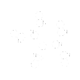 c1ccc2ncc(-c3cc(-c4cc(-c5cc(-c6cnc7ccccc7c6)nc(-c6cnc7ccccc7c6)c5)cc(-c5nc6ccccc6o5)c4)cc(-c4cnc5ccccc5c4)n3)cc2c1